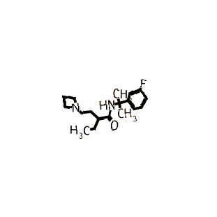 CCC(CCN1CCC1)C(=O)NC(C)(C)c1cccc(F)c1